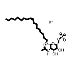 CCCCCCCC/C=C\CCCCCCCCO[C@@H]1O[C@H](COS(=O)(=O)[O-])[C@@H](O)[C@H](O)[C@H]1NC(C)=O.[K+]